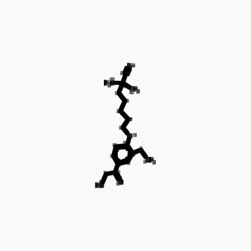 CCc1cc(C(=O)CO)ccc1OCCCCCC(C)(C)C#N